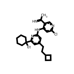 CCC1(c2cc(CCC3CCC3)cc(Nc3cc(Cl)ncc3C(C)=N)n2)CCCCC1